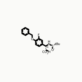 CC(C)(C)[S+]([O-])N[C@H](CC(=O)O)c1ccc(OCc2ccccc2)c(F)c1